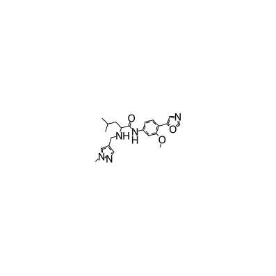 COc1cc(NC(=O)C(CC(C)C)NCc2cnn(C)c2)ccc1-c1cnco1